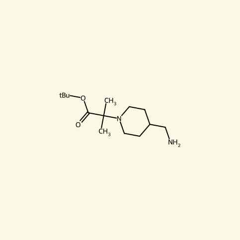 CC(C)(C)OC(=O)C(C)(C)N1CCC(CN)CC1